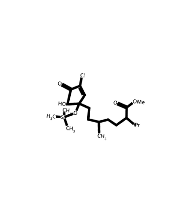 COC(=O)C(CCC(C)CCC1(O[Si](C)(C)C)C=C(Cl)C(=O)C1O)C(C)C